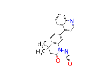 CC1(C)CC(=O)N(N=C=O)c2cc(-c3ccnc4ccccc34)ccc21